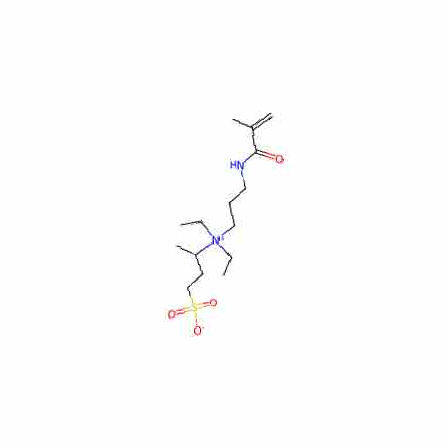 C=C(C)C(=O)NCCC[N+](CC)(CC)C(C)CCS(=O)(=O)[O-]